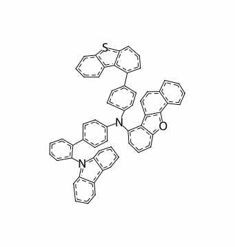 c1ccc(-n2c3ccccc3c3ccccc32)c(-c2ccc(N(c3ccc(-c4cccc5sc6ccccc6c45)cc3)c3cccc4oc5c6ccccc6ccc5c34)cc2)c1